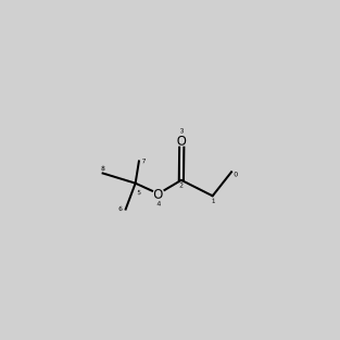 CCC(=O)OC(C)(C)C